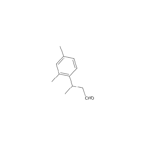 Cc1ccc(C(C)CC=O)c(C)c1